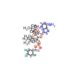 CC(C)(C)[Si](C)(C)O[C@@H]1[C@H](O[Si](C)(C)C(C)(C)C)[C@@H](COP2OCC(c3cc(F)c(F)cc3F)O2)O[C@H]1n1cnc2c(N)ncnc21